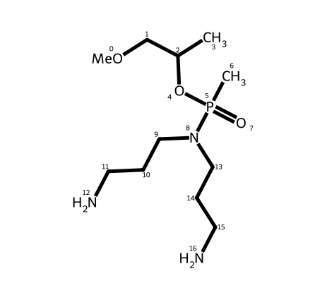 COCC(C)OP(C)(=O)N(CCCN)CCCN